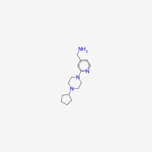 NCc1ccnc(N2CCN(C3CCCC3)CC2)c1